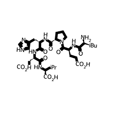 CC[C@H](C)[C@H](N)C(=O)N[C@@H](CCC(=O)O)C(=O)N1CCC[C@H]1C(=O)N[C@@H](Cc1c[nH]cn1)C(=O)N[C@@H](CC(=O)O)C(=O)N[C@H](C(=O)O)C(C)C